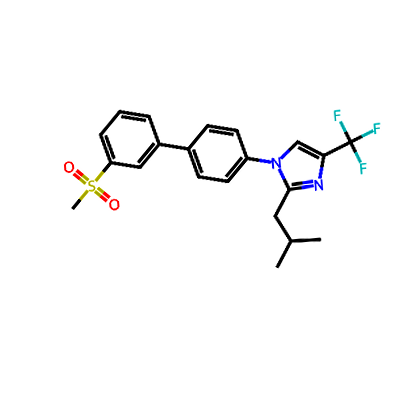 CC(C)Cc1nc(C(F)(F)F)cn1-c1ccc(-c2cccc(S(C)(=O)=O)c2)cc1